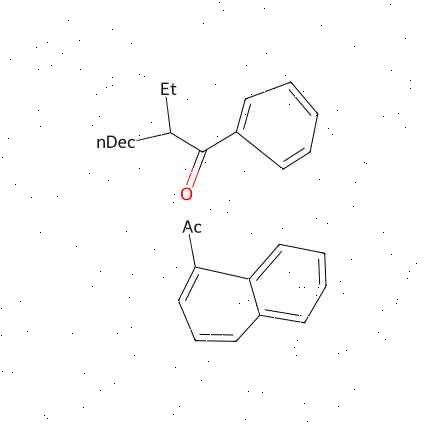 CC(=O)c1cccc2ccccc12.CCCCCCCCCCC(CC)C(=O)c1ccccc1